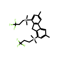 Cc1cc2c(c([Si](C)(C)CCC(F)(F)F)c1)Cc1c-2cc(C)cc1[Si](C)(C)CCC(F)(F)F